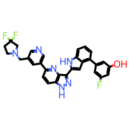 Oc1cc(F)cc(-c2cccc3[nH]c(-c4n[nH]c5ccc(-c6cncc(CN7CCC(F)(F)C7)c6)nc45)cc23)c1